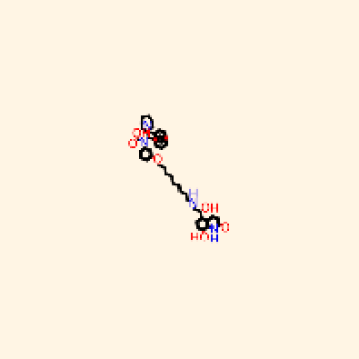 O=C(O)N(c1cccc(OCCCCCCCCCNC[C@H](O)c2ccc(O)c3[nH]c(=O)ccc23)c1)C(c1ccccc1)C1CC2CCC(C1)N2Cc1ccccc1